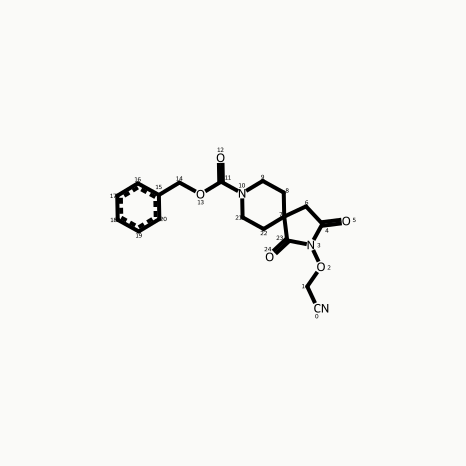 N#CCON1C(=O)CC2(CCN(C(=O)OCc3ccccc3)CC2)C1=O